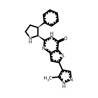 Cc1[nH]ncc1-c1cc2nc([C@H]3NCC[C@H]3c3ccccc3)[nH]c(=O)c2s1